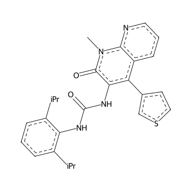 CC(C)c1cccc(C(C)C)c1NC(=O)Nc1c(-c2ccsc2)c2cccnc2n(C)c1=O